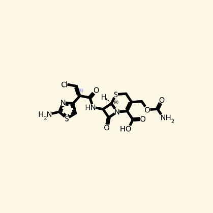 NC(=O)OCC1=C(C(=O)O)N2C(=O)C(NC(=O)/C(=C/Cl)c3csc(N)n3)[C@H]2SC1